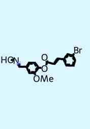 COc1cc(/C=N/O)ccc1OC(=O)C=Cc1cccc(Br)c1